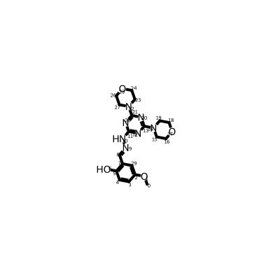 COc1ccc(O)c(C=NNc2nc(N3CCOCC3)nc(N3CCOCC3)n2)c1